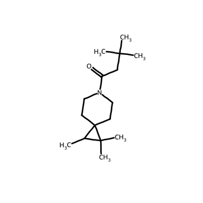 CC1C(C)(C)C12CCN(C(=O)CC(C)(C)C)CC2